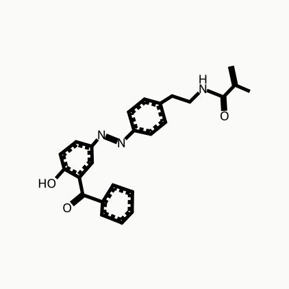 C=C(C)C(=O)NCCc1ccc(N=Nc2ccc(O)c(C(=O)c3ccccc3)c2)cc1